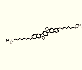 CCCCCCCCCc1ccc2cc3c(cc2c1)oc1cc2c(cc13)oc1cc3cc(CCCCCCCCC)ccc3cc12